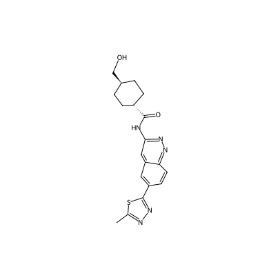 Cc1nnc(-c2ccc3nnc(NC(=O)[C@H]4CC[C@H](CO)CC4)cc3c2)s1